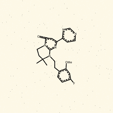 COc1cc(F)ccc1CCN1c2nc(-c3ccncn3)cc(=O)n2CCC1(C)C